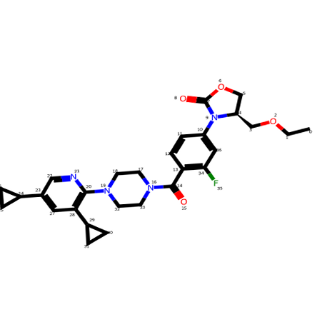 CCOC[C@@H]1COC(=O)N1c1ccc(C(=O)N2CCN(c3ncc(C4CC4)cc3C3CC3)CC2)c(F)c1